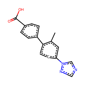 Cc1cc(-n2cncn2)ccc1-c1ccc(C(=O)O)cc1